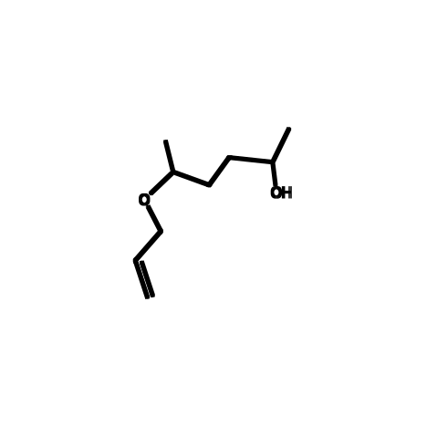 C=CCOC(C)CCC(C)O